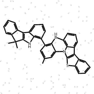 Cc1cc(-c2cccc3c4c([nH]c23)C(C)(C)c2ccccc2-4)c2c(c1)-n1c3sc4ccccc4c3c3cccc(c31)B2